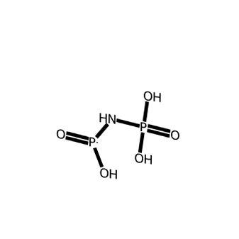 O=[P](O)NP(=O)(O)O